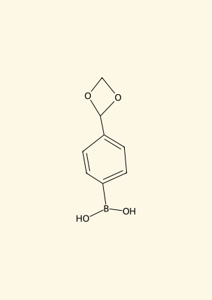 OB(O)c1ccc(C2OCO2)cc1